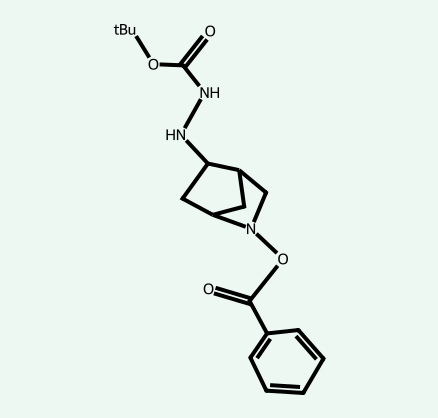 CC(C)(C)OC(=O)NNC1CC2CC1CN2OC(=O)c1ccccc1